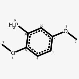 COc1ccc(OC)c(P)c1